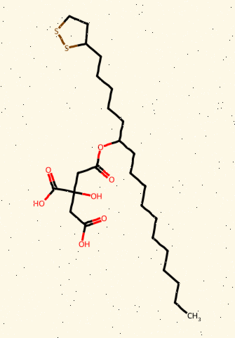 CCCCCCCCCCCC(CCCCCC1CCSS1)OC(=O)CC(O)(CC(=O)O)C(=O)O